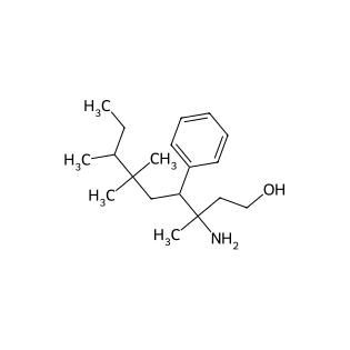 CCC(C)C(C)(C)CC(c1ccccc1)C(C)(N)CCO